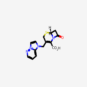 O=C(O)C1=C(Cn2cc[n+]3ncccc23)CS[C@@H]2CC(=O)N12